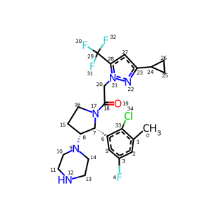 Cc1cc(F)cc([C@@H]2[C@H](N3CCNCC3)CCN2C(=O)Cn2nc(C3CC3)cc2C(F)(F)F)c1Cl